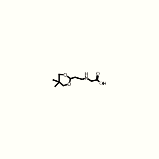 CC1(C)COC(CCNCC(=O)O)OC1